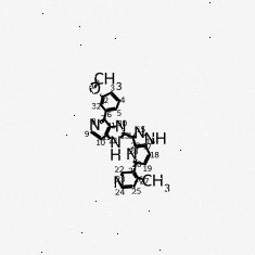 COc1cccc(-c2nccc3[nH]c(-c4n[nH]c5ccc(-c6cnccc6C)nc45)nc23)c1